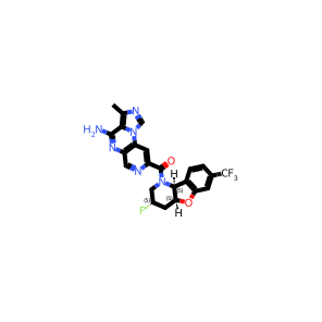 Cc1ncn2c1c(N)nc1cnc(C(=O)N3C[C@@H](F)C[C@@H]4Oc5cc(C(F)(F)F)ccc5[C@@H]43)cc12